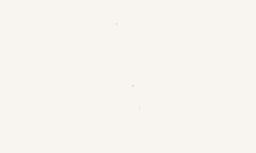 O[Si](CCBr)(OCCBr)OCCBr